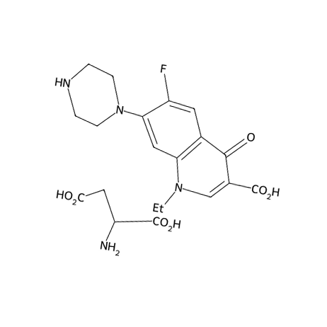 CCn1cc(C(=O)O)c(=O)c2cc(F)c(N3CCNCC3)cc21.NC(CC(=O)O)C(=O)O